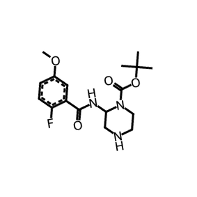 COc1ccc(F)c(C(=O)NC2CNCCN2C(=O)OC(C)(C)C)c1